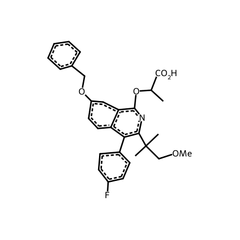 COCC(C)(C)c1nc(OC(C)C(=O)O)c2cc(OCc3ccccc3)ccc2c1-c1ccc(F)cc1